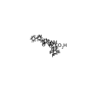 O=C(O)C[C@H](NC(=O)CN1CCN(Cc2cncc(-c3ccccc3)c2)C(=O)C1)C(=O)COc1c(F)c(F)cc(F)c1F